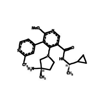 COc1ncc(C(=O)N[C@@H](C)C2CC2)c(N2CC[C@](C)(N)C2)c1-c1ccnc(C(F)(F)F)c1